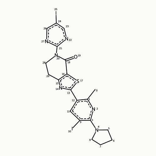 Cc1nc(N2CCCC2)c(I)cc1-c1nc2c(s1)C(=O)N(c1ncc(I)cn1)CC2